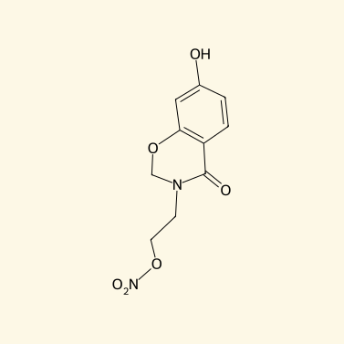 O=C1c2ccc(O)cc2OCN1CCO[N+](=O)[O-]